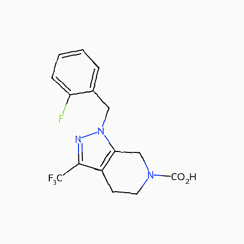 O=C(O)N1CCc2c(C(F)(F)F)nn(Cc3ccccc3F)c2C1